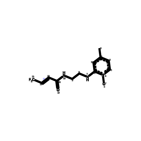 Cc1cc[n+]([O-])c(NCCNC(=O)/C=C/C(F)(F)F)c1